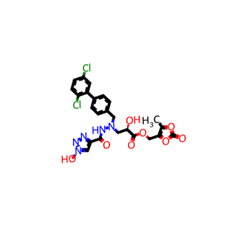 Cc1oc(=O)oc1COC(=O)[C@H](O)CN(Cc1ccc(-c2cc(Cl)ccc2Cl)cc1)NC(=O)c1cn(O)nn1